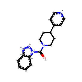 O=C(N1CCC(c2ccncc2)CC1)n1nnc2ccccc21